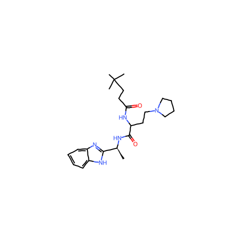 C[C@H](NC(=O)C(CCN1CCCC1)NC(=O)CCC(C)(C)C)c1nc2ccccc2[nH]1